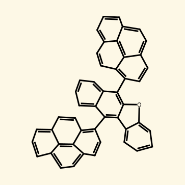 c1cc2ccc3ccc(-c4c5ccccc5c(-c5ccc6ccc7cccc8ccc5c6c78)c5c4oc4ccccc45)c4ccc(c1)c2c34